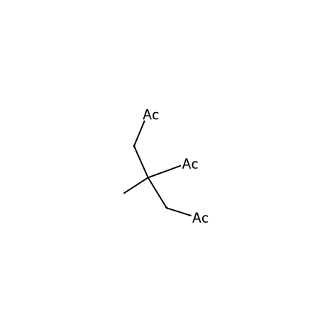 CC(=O)CC(C)(CC(C)=O)C(C)=O